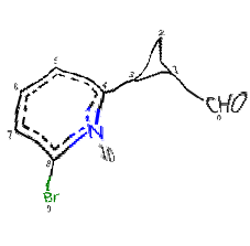 O=CC1CC1c1cccc(Br)n1